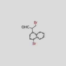 O=CC(CBr)c1ccc(Br)c2ccccc12